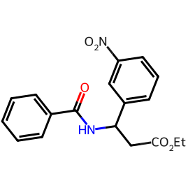 CCOC(=O)CC(NC(=O)c1ccccc1)c1cccc([N+](=O)[O-])c1